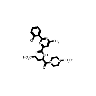 CCOC(=O)N1CCN(C(=O)C(CCC(=O)O)NC(=O)c2cc(C)nc(-c3ccccc3Cl)n2)CC1